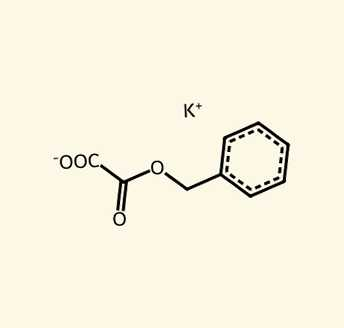 O=C([O-])C(=O)OCc1ccccc1.[K+]